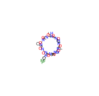 CCC(C)[C@@H]1NC(=O)[C@H](C)N(C)C(=O)C[C@@H](C)NC(=O)[C@H](CC(C)C)N(C)C(=O)C2(CCCC2)NC(=O)[C@@H]2CCCN2C(=O)[C@H](CCc2ccc(C(F)(F)F)cc2)NC(=O)CN(C)C(=O)[C@H](CC2CCCCC2)N(C)C(=O)CN(C)C(=O)CN(C)C1=O